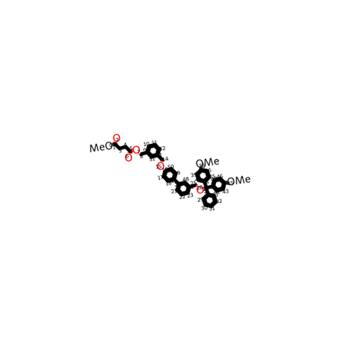 COC(=O)CCC(=O)OCc1cccc(COc2ccc(-c3cccc(COC(c4ccccc4)(c4ccc(OC)cc4)c4ccc(OC)cc4)c3)cc2)c1